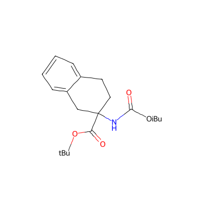 CC(C)COC(=O)NC1(C(=O)OC(C)(C)C)CCc2ccccc2C1